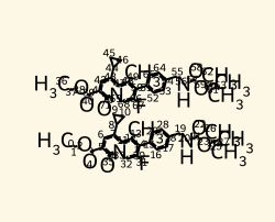 CCOC(=O)c1cc(C2CC2)c2c(C)c(-c3ccc(CNC(=O)OC(C)(C)C)cc3)c(F)cn2c1=O.CCOC(=O)c1cc(C2CC2)c2c(C)c(-c3ccc(CNC(=O)OC(C)(C)C)cc3)c(F)cn2c1=O